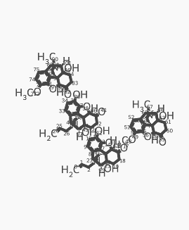 C=CCN1CC[C@]23c4c5ccc(O)c4O[C@H]2C(=O)CC[C@@]3(O)[C@H]1C5.C=CCN1CC[C@]23c4c5ccc(O)c4O[C@H]2C(=O)CC[C@@]3(O)[C@H]1C5.COc1ccc2c3c1O[C@H]1C(=O)CC[C@@]4(O)[C@@H](C2)N(C)CC[C@]314.COc1ccc2c3c1O[C@H]1C(=O)CC[C@@]4(O)[C@@H](C2)N(C)CC[C@]314